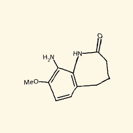 COc1ccc2c(c1N)NC(=O)CCC2